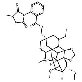 CCN1C[C@]2(COC(=O)c3ccccc3N3C(=O)CC(C)C3=O)CC[C@H](OC)[C@@]34C1C1(OCO[C@@]15C[C@H](OC)[C@H]1C[C@@H]3[C@@H]5C1OC)[C@@H](OC)[C@H]24